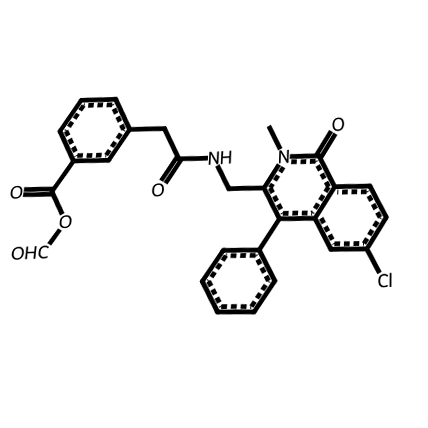 Cn1c(CNC(=O)Cc2cccc(C(=O)OC=O)c2)c(-c2ccccc2)c2cc(Cl)ccc2c1=O